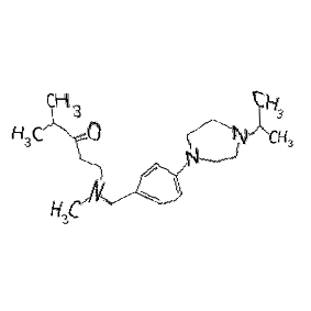 CC(C)C(=O)CCN(C)Cc1ccc(N2CCN(C(C)C)CC2)cc1